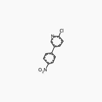 O=[N+]([O-])c1ccc(-c2ccc(Cl)nc2)cc1